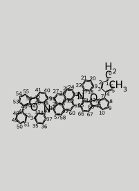 C=C/C=C\C(=C/C)c1cccc2c1oc1c(N(c3ccccc3)c3ccc4ccc5c(N(c6ccccc6)c6cccc7c6oc6c(-c8ccccc8)cccc67)ccc6ccc3c4c65)cccc12